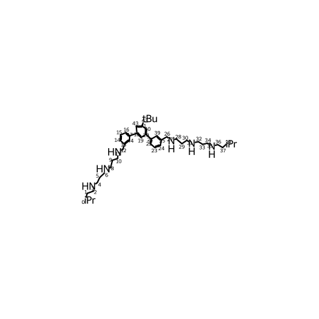 CC(C)CCNCCCNCCCNCc1cccc(-c2cc(-c3cccc(CNCCCNCCCNCCC(C)C)c3)cc(C(C)(C)C)c2)c1